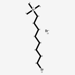 C[N+](C)(C)CCCCCCCCBr.[Br-]